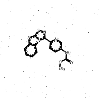 CC(C)(C)OC(=O)Nc1ccc(-c2nsc3nc4ccccc4n23)nc1